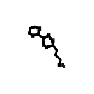 NCCCc1nnc(-c2ncccn2)nn1